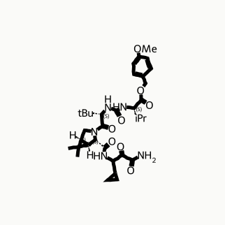 COc1ccc(COC(=O)[C@@H](NC(=O)N[C@H](C(=O)N2C[C@H]3[C@@H]([C@H]2C(=O)NC(C(=O)C(N)=O)C2CC2)C3(C)C)C(C)(C)C)C(C)C)cc1